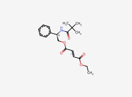 CCOC(=O)/C=C/C(=O)OC[C@H](NC(=O)C(C)(C)C)c1ccccc1